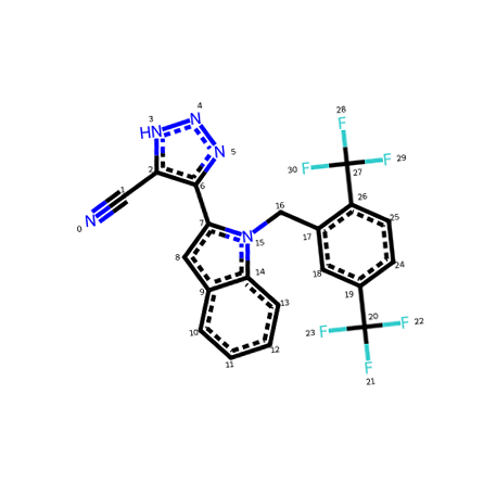 N#Cc1[nH]nnc1-c1cc2ccccc2n1Cc1cc(C(F)(F)F)ccc1C(F)(F)F